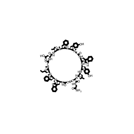 CCCC[C@H]1C(=O)N(C)CC(=O)N[C@@H](CC(=O)O)C(=O)N[C@@H](C(C)C)C(=O)N(C)[C@@H](Cc2ccccc2)C(=O)N[C@@H](Cc2ccc(O)cc2)C(=O)N(C)CC(=O)N[C@@H](Cc2c[nH]c3ccccc23)C(=O)N[C@@H](Cc2ccc(O)cc2)C(=O)N[C@@H](CC(C)C)C(=O)N[C@H](C(=O)NCC(N)=O)CSCC(=O)N[C@@H](Cc2csc3ccccc23)C(=O)N(C)[C@@H](Cc2ccccc2)C(=O)N1C